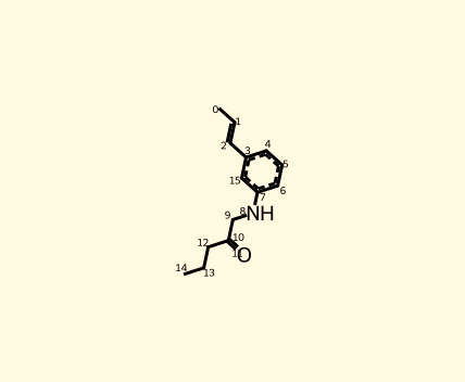 C/C=C/c1cccc(NCC(=O)CCC)c1